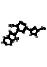 CCCn1cc(-c2cnc(N)c(-c3nc4ccccc4[nH]3)c2)cn1